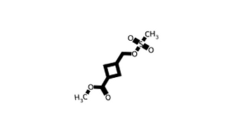 COC(=O)C1CC(COS(C)(=O)=O)C1